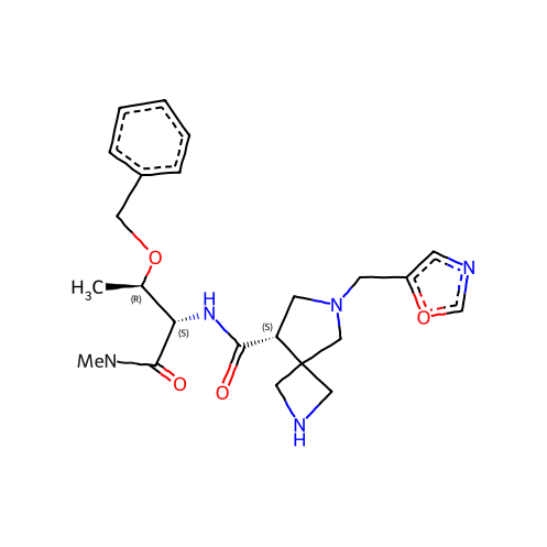 CNC(=O)[C@@H](NC(=O)[C@@H]1CN(Cc2cnco2)CC12CNC2)[C@@H](C)OCc1ccccc1